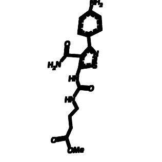 COC(=O)CCCNC(=O)Nc1snc(-c2ccc(N)cc2)c1C(N)=O